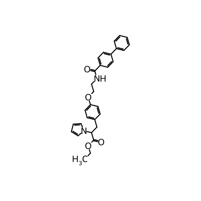 CCOC(=O)C(Cc1ccc(OCCNC(=O)c2ccc(-c3ccccc3)cc2)cc1)n1cccc1